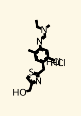 CCN(C)C=Nc1cc(C)c(Cc2nc(CO)cs2)cc1C.Cl.Cl